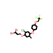 Cc1cc(OCC=C(Br)Br)c(Cl)cc1Oc1ccc(OCC(F)(F)F)cc1